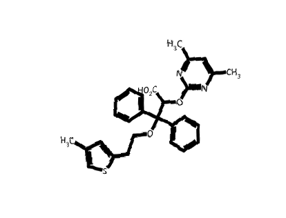 Cc1csc(CCOC(c2ccccc2)(c2ccccc2)C(Oc2nc(C)cc(C)n2)C(=O)O)c1